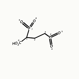 O=C(O)C(CCP(=O)=O)P(=O)=O